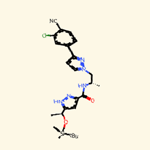 C[C@H](O[Si](C)(C)C(C)(C)C)c1cc(C(=O)N[C@@H](C)Cn2ccc(-c3ccc(C#N)c(Cl)c3)n2)n[nH]1